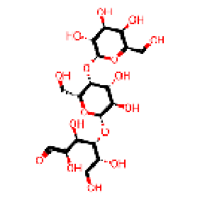 O=C[C@H](O)[C@@H](O)[C@H](O[C@@H]1O[C@H](CO)[C@H](O[C@H]2O[C@H](CO)[C@H](O)[C@H](O)[C@H]2O)[C@H](O)[C@H]1O)[C@H](O)CO